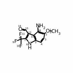 COc1ccc2[nH]c(C(F)(F)F)c(C=O)c2c1N